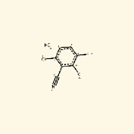 Cl.N#Cc1c(Cl)ccc(F)c1Cl